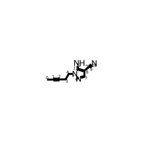 CC#CCCn1ncc(C#N)c1N